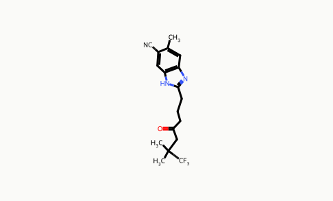 Cc1cc2nc(CCCC(=O)CC(C)(C)C(F)(F)F)[nH]c2cc1C#N